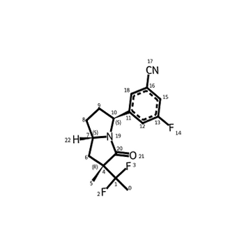 CC(F)(F)[C@]1(C)C[C@@H]2CC[C@@H](c3cc(F)cc(C#N)c3)N2C1=O